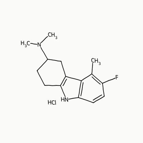 Cc1c(F)ccc2[nH]c3c(c12)CC(N(C)C)CC3.Cl